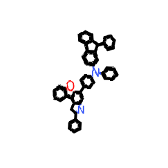 c1ccc(C2=Nc3cc(-c4ccc(N(c5ccccc5)c5ccc6c(c5)C(c5ccccc5)c5ccccc5-6)cc4)c4oc5ccccc5c4c3C2)cc1